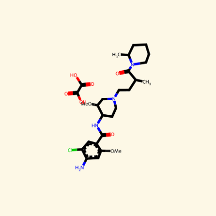 COc1cc(N)c(Cl)cc1C(=O)NC1CCN(CCC(C)C(=O)N2CCCCC2C)CC1OC.O=C(O)C(=O)O